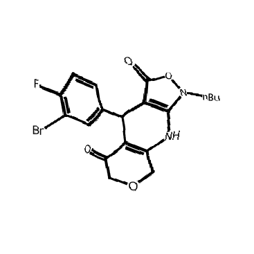 CCCCn1oc(=O)c2c1NC1=C(C(=O)COC1)C2c1ccc(F)c(Br)c1